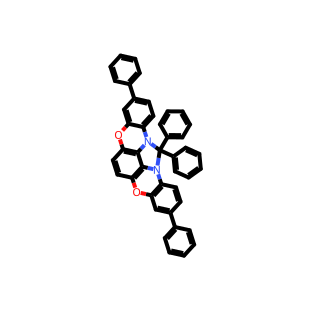 c1ccc(-c2ccc3c(c2)oc2ccc4oc5cc(-c6ccccc6)ccc5n5c4c2n3C5(c2ccccc2)c2ccccc2)cc1